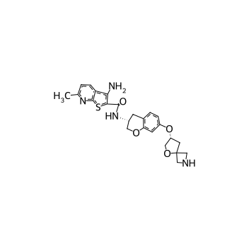 Cc1ccc2c(N)c(C(=O)N[C@H]3COc4cc(O[C@H]5COC6(CNC6)C5)ccc4C3)sc2n1